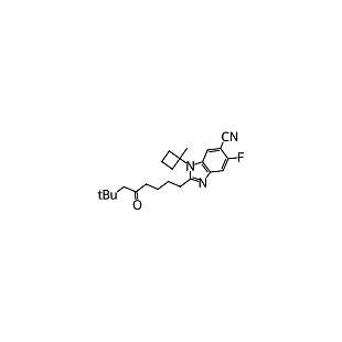 CC(C)(C)CC(=O)CCCCc1nc2cc(F)c(C#N)cc2n1C1(C)CCC1